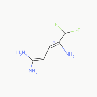 NC(N)=C/C=C(\N)C(F)F